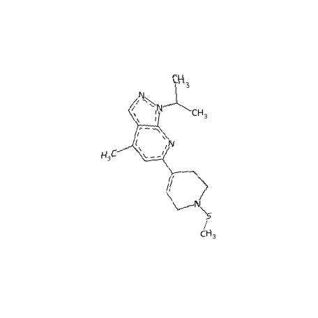 CSN1CC=C(c2cc(C)c3cnn(C(C)C)c3n2)CC1